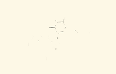 CNCc1cn([C@@H]2O[C@H](CO)C3OC(C)(C)O[C@@H]32)c(=O)[nH]c1=O